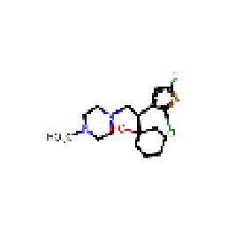 O=C(O)N1CCN(CC(c2cc(Cl)sc2Cl)C2(O)CCCCC2)CC1